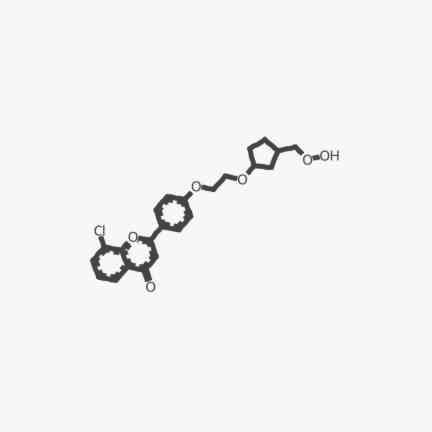 O=c1cc(-c2ccc(OCCOC3CCC(COO)C3)cc2)oc2c(Cl)cccc12